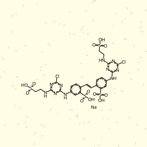 O=S(=O)(O)CCNc1nc(Cl)nc(Nc2ccc(C=Cc3ccc(Nc4nc(Cl)nc(NCCS(=O)(=O)O)n4)cc3S(=O)(=O)O)c(S(=O)(=O)O)c2)n1.[Na]